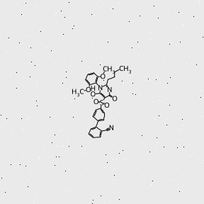 CCCCc1nc(=O)c(S(=O)(=O)c2ccc(-c3ccccc3C#N)cc2)c(O)n1-c1c(OC)cccc1OC